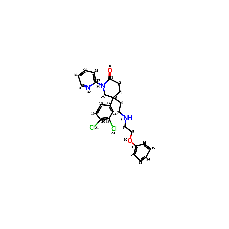 O=C1CCC(CCNCCOc2ccccc2)(c2ccc(Cl)c(Cl)c2)CN1c1ccccn1